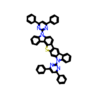 c1ccc(-c2cc(-c3ccccc3)nc(-n3c4ccccc4c4cc5c(cc43)sc3c5ccc4c3c3ccccc3n4-c3nc(-c4ccccc4)cc(-c4ccccc4)n3)n2)cc1